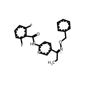 CC/C(=N/OCc1ccccc1)c1ccc(NC(=O)c2c(F)cccc2F)nc1